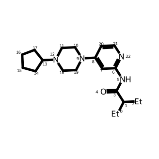 CCC(CC)C(=O)Nc1cc(N2CCN(C3CCCC3)CC2)ccn1